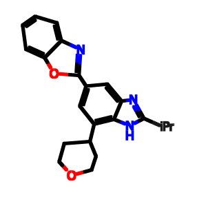 CC(C)c1nc2cc(-c3nc4ccccc4o3)cc(C3CCOCC3)c2[nH]1